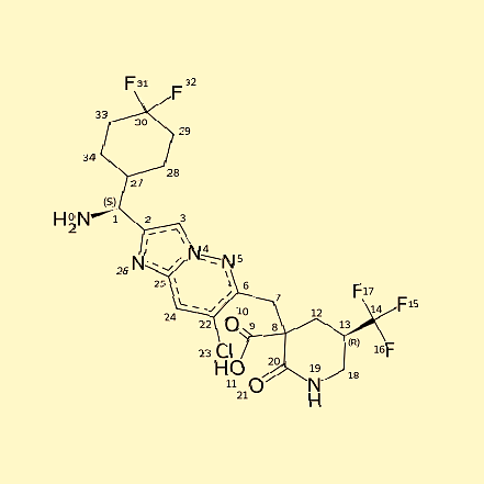 N[C@H](c1cn2nc(CC3(C(=O)O)C[C@@H](C(F)(F)F)CNC3=O)c(Cl)cc2n1)C1CCC(F)(F)CC1